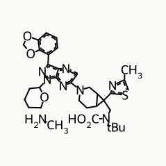 CN.Cc1csc(C2(CN(C(=O)O)C(C)(C)C)C3CCN(c4cnc5c(-c6cccc7c6OCO7)nn(C6CCCCO6)c5n4)CC32)n1